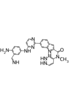 CN(C(=O)c1cc2ccc(-c3nccc(Nc4ccc(N)c(C=N)c4)n3)cc2[nH]1)C1=CNNC=C1